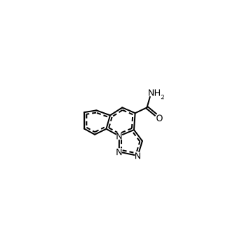 NC(=O)c1cc2ccccc2n2nncc12